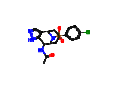 CC(=O)NC1c2[nH]ncc2C2CCCC1N2S(=O)(=O)c1ccc(Cl)cc1